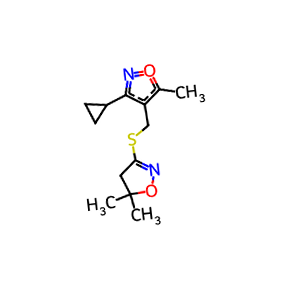 Cc1onc(C2CC2)c1CSC1=NOC(C)(C)C1